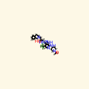 CC(=O)N1CCC(Nc2ncc(C(F)(F)F)c3c(NC[C@@H](O)CN4CCc5ccccc5C4)n[nH]c23)CC1